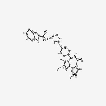 Cc1sc2c(c1C)C(c1ccc(-c3cccc(NC(=O)c4cc5ccccc5o4)c3)cc1)=N[C@@H](C)c1nnc(C)n1-2